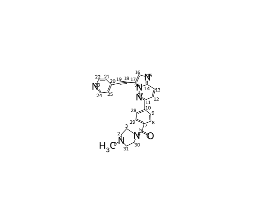 CN1CCN(C(=O)c2ccc(-c3ccc4ncc(C#Cc5ccncc5)n4n3)cc2)CC1